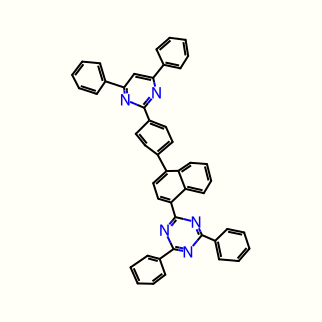 c1ccc(-c2cc(-c3ccccc3)nc(-c3ccc(-c4ccc(-c5nc(-c6ccccc6)nc(-c6ccccc6)n5)c5ccccc45)cc3)n2)cc1